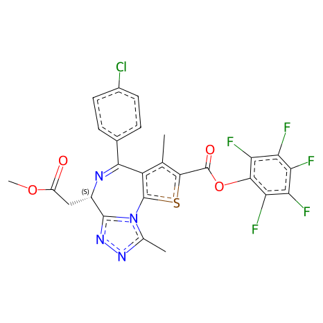 COC(=O)C[C@@H]1N=C(c2ccc(Cl)cc2)c2c(sc(C(=O)Oc3c(F)c(F)c(F)c(F)c3F)c2C)-n2c(C)nnc21